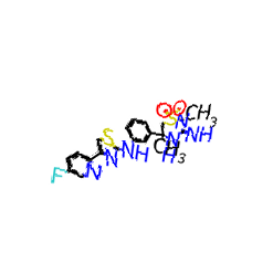 CN1C(=N)NC(C)(c2cccc(Nc3nc(-c4ccc(F)cn4)cs3)c2)CS1(=O)=O